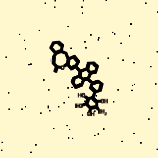 Bc1c(O)c(O)c(O)c(-c2cccc(-c3c4ccccc4c(-c4ccc5c(c4)OC(=C)/C=C\C4=C(C=CCC4)C5)c4ccccc34)c2)c1O